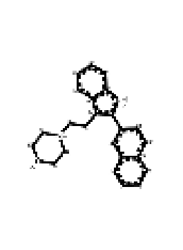 c1ccc2cc(-c3[nH]c4ccccc4c3CCN3CCOCC3)ccc2c1